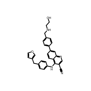 N#Cc1cnc2cc(-c3ccc(CNCCO)cc3)ccc2c1Nc1ccc(Cc2ccoc2)cc1